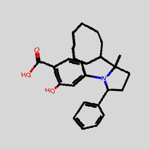 CC1(C2CCCCCCC2)CCC(c2ccccc2)N1c1ccc(C(=O)O)c(O)c1